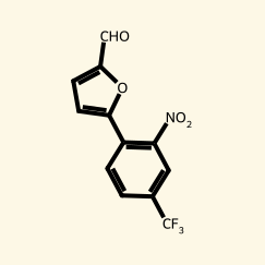 O=Cc1ccc(-c2ccc(C(F)(F)F)cc2[N+](=O)[O-])o1